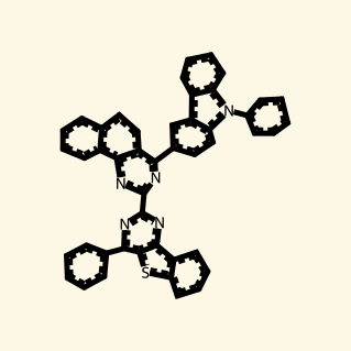 c1ccc(-c2nc(-c3nc(-c4ccc5c(c4)c4ccccc4n5-c4ccccc4)c4ccc5ccccc5c4n3)nc3c2sc2ccccc23)cc1